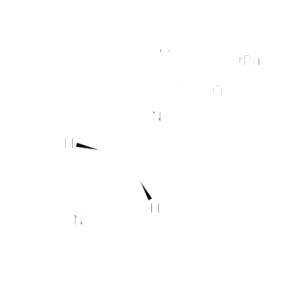 CN(C)[C@@H]1[C@@H]2CN(C(=O)OC(C)(C)C)C[C@@H]21